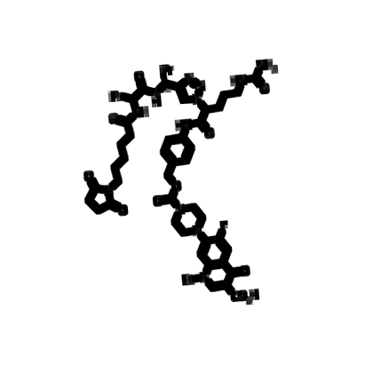 CCn1cc(C(=O)O)c(=O)c2cc(F)c(N3CCN(C(=O)OCc4ccc(NC(=O)C(CCCNC(N)=O)n5cc([C@@H](NC(=O)C(NC(=O)CCCCCN6C(=O)CCC6=O)C(C)C)C(C)C)nn5)cc4)CC3)cc21